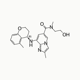 Cc1cn2cc(C(=O)N(C)CCO)cc(N[C@@H]3CCOc4cccc(C)c43)c2n1